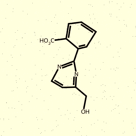 O=C(O)c1ccccc1-c1nccc(CO)n1